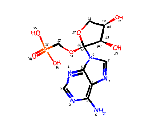 Nc1ncnc2c1ncn2[C@]1(OCP(=O)(O)O)OC[C@@H](O)[C@H]1O